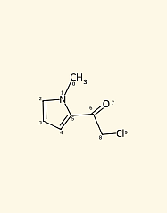 Cn1cccc1C(=O)CCl